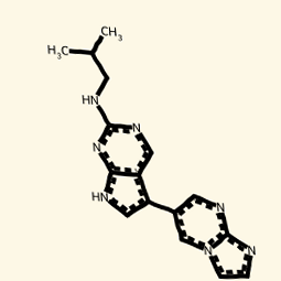 CC(C)CNc1ncc2c(-c3cnc4nccn4c3)c[nH]c2n1